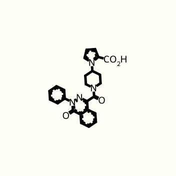 O=C(O)c1cccn1C1CCN(C(=O)c2nn(-c3ccccc3)c(=O)c3ccccc23)CC1